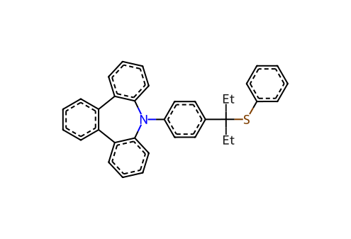 CCC(CC)(Sc1ccccc1)c1ccc(N2c3ccccc3-c3ccccc3-c3ccccc32)cc1